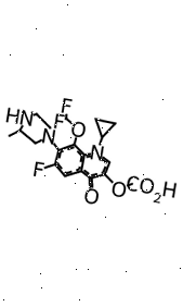 CC1CN(c2c(F)cc3c(=O)c(OC(=O)O)cn(C4CC4)c3c2OC(F)F)CCN1